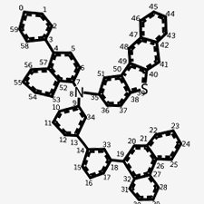 c1ccc(-c2ccc(N(c3cccc(-c4cccc(-c5cc6ccccc6c6ccccc56)c4)c3)c3ccc4sc5cc6ccccc6cc5c4c3)c3ccccc23)cc1